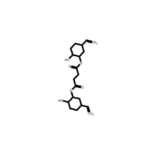 C=CC1CCC(O)C(OC(=O)CCC(=O)OC2CC(C=C)CCC2O)C1